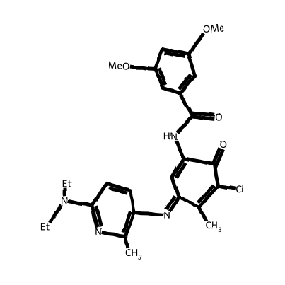 CCN(CC)c1ccc(/N=C2\C=C(NC(=O)c3cc(OC)cc(OC)c3)C(=O)C(Cl)=C2C)c(C)n1